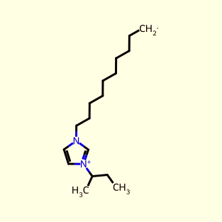 [CH2]CCCCCCCCCn1cc[n+](C(C)CC)c1